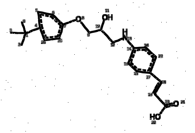 CC(C)(C)c1ccc(OCC(O)CNc2ccc(C=CC(=O)O)cc2)cc1